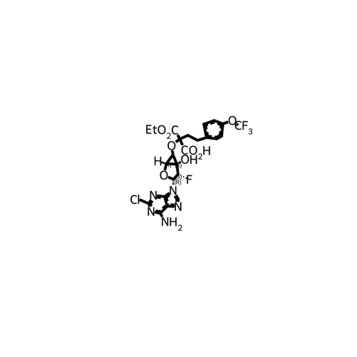 CCOC(=O)C(CCc1ccc(OC(F)(F)F)cc1)(OC1[C@H]2O[C@@H](n3cnc4c(N)nc(Cl)nc43)[C@@H](F)[C@@]12O)C(=O)O